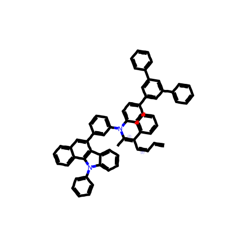 C=C/C=C\C(=C(/C)N(c1ccc(-c2cc(-c3ccccc3)cc(-c3ccccc3)c2)cc1)c1cccc(-c2cc3ccccc3c3c2c2ccccc2n3-c2ccccc2)c1)c1ccccc1